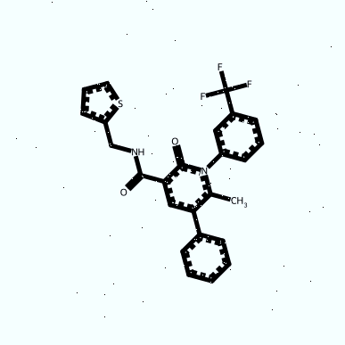 Cc1c(-c2ccccc2)cc(C(=O)NCc2cccs2)c(=O)n1-c1cccc(C(F)(F)F)c1